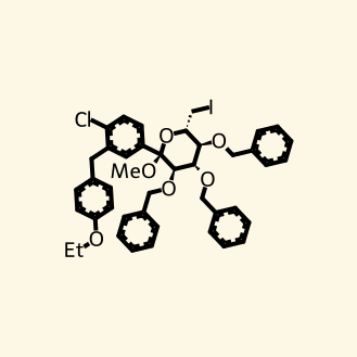 CCOc1ccc(Cc2cc([C@]3(OC)O[C@H](CI)[C@@H](OCc4ccccc4)[C@H](OCc4ccccc4)[C@H]3OCc3ccccc3)ccc2Cl)cc1